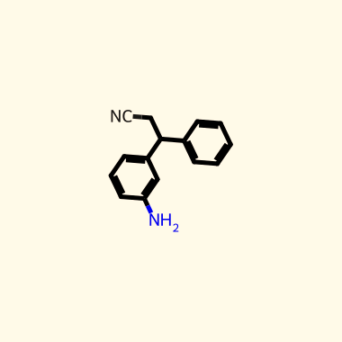 N#CCC(c1ccccc1)c1cccc(N)c1